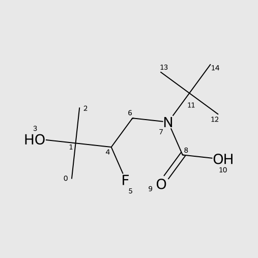 CC(C)(O)C(F)CN(C(=O)O)C(C)(C)C